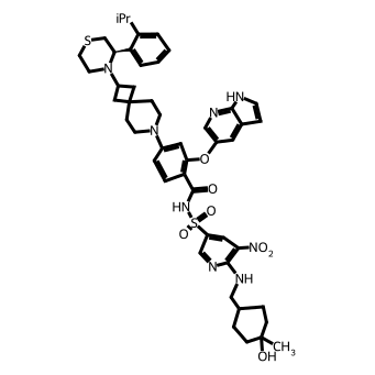 CC(C)c1ccccc1[C@@H]1CSCCN1C1CC2(CCN(c3ccc(C(=O)NS(=O)(=O)c4cnc(NCC5CCC(C)(O)CC5)c([N+](=O)[O-])c4)c(Oc4cnc5[nH]ccc5c4)c3)CC2)C1